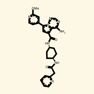 COc1cc(-c2cc(C(=O)N[C@H]3CC[C@H](NC(=O)Cc4ccccn4)CC3)c3c(N)ncnn23)ccn1